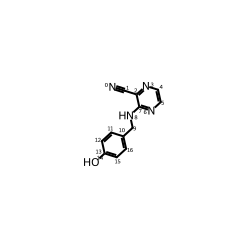 N#Cc1nccnc1NCc1ccc(O)cc1